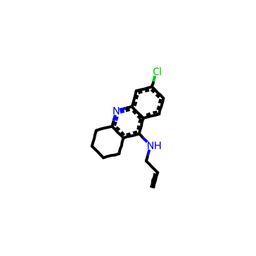 C=CCNc1c2c(nc3cc(Cl)ccc13)CCCC2